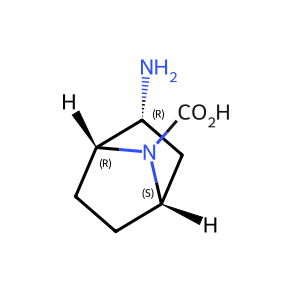 N[C@@H]1C[C@@H]2CC[C@H]1N2C(=O)O